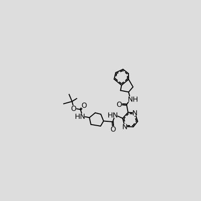 CC(C)(C)OC(=O)NC1CCC(C(=O)Nc2nccnc2C(=O)NC2Cc3ccccc3C2)CC1